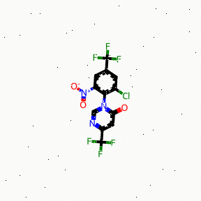 O=c1cc(C(F)(F)F)ncn1-c1c(Cl)cc(C(F)(F)F)cc1[N+](=O)[O-]